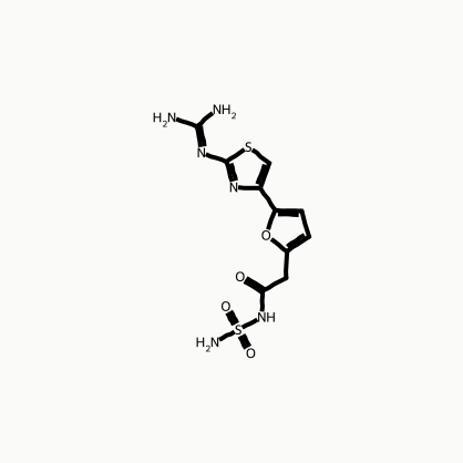 NC(N)=Nc1nc(-c2ccc(CC(=O)NS(N)(=O)=O)o2)cs1